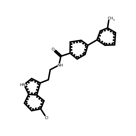 Cc1cccc(-c2ccc(C(=O)NCCc3c[nH]c4ccc(Cl)cc34)cc2)c1